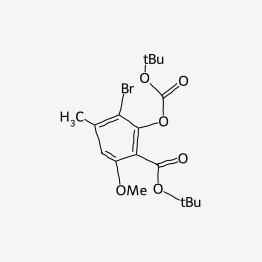 COc1cc(C)c(Br)c(OC(=O)OC(C)(C)C)c1C(=O)OC(C)(C)C